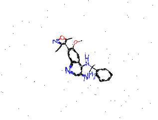 COc1cc2c(NC(C)(C)c3ccccc3)c(N)cnc2cc1-c1c(C)noc1C